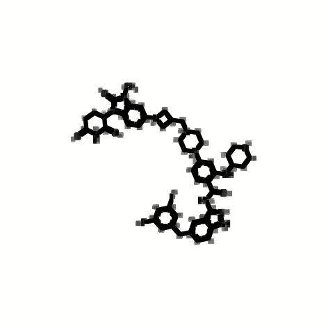 Cn1c(=O)n(C2CCC(=O)NC2=O)c2ccc(N3CC(CN4CCN(c5ccc(C(=O)Nc6n[nH]c7ccc(Cc8cc(F)cc(F)c8)cc67)c(NC6CCOCC6)c5)CC4)C3)cc21